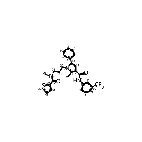 Cc1c(C(=O)Nc2cccc(C(F)(F)F)c2)cc(-c2ccccc2)n1CCCN(C)C(=O)c1cccs1